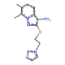 Cc1ccc2c(N)c(OCCn3ccnc3)nn2c1C